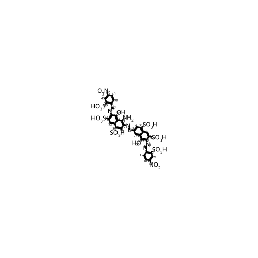 Nc1c(N=Nc2cc(S(=O)(=O)O)c3cc(S(=O)(=O)O)c(N=Nc4ccc([N+](=O)[O-])cc4S(=O)(=O)O)c(O)c3c2)c(S(=O)(=O)O)cc2cc(S(=O)(=O)O)c(N=Nc3ccc([N+](=O)[O-])cc3S(=O)(=O)O)c(O)c12